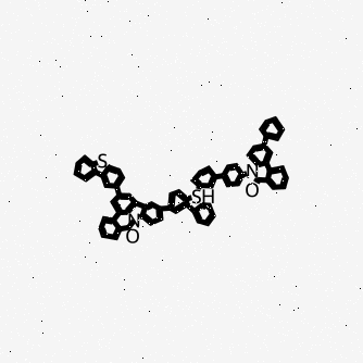 O=c1c2ccccc2c2cc(-c3ccccc3)ccc2n1-c1ccc(-c2cccc([SH]3c4ccccc4-c4cc(-c5ccc6c(c5)c5cc(-c7ccc8sc9ccccc9c8c7)cc7c8ccccc8c(=O)n6c75)ccc43)c2)cc1